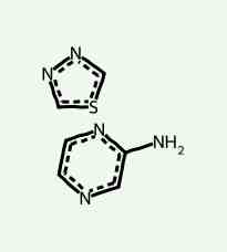 Nc1cnccn1.c1nncs1